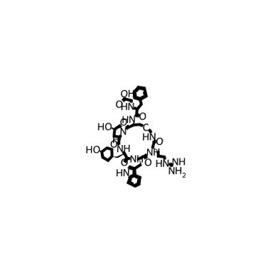 N=C(N)NCCC[C@@H]1NC(=O)[C@H](Cc2c[nH]c3ccccc23)NC(=O)[C@@H](C[C@H]2CC[C@@H](O)CC2)NC(=O)[C@@H]2C[C@@H](O)CN2C(=O)[C@@H](NC(=O)C(Cc2ccccc2)NCC(=O)O)CCCNC1=O